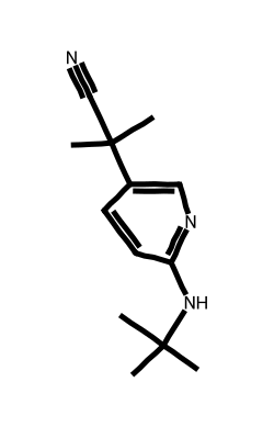 CC(C)(C)Nc1ccc(C(C)(C)C#N)cn1